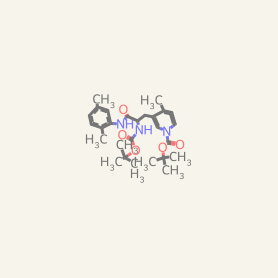 CC1=C=CN(C(=O)OC(C)(C)C)C=C1CC(NC(=O)OC(C)(C)C)C(=O)Nc1cc(C)ccc1C